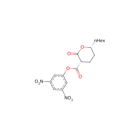 CCCCCC[C@@H]1CC[C@H](C(=O)Oc2cc([N+](=O)[O-])cc([N+](=O)[O-])c2)C(=O)O1